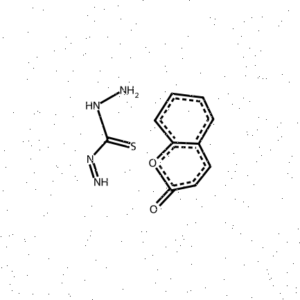 N=NC(=S)NN.O=c1ccc2ccccc2o1